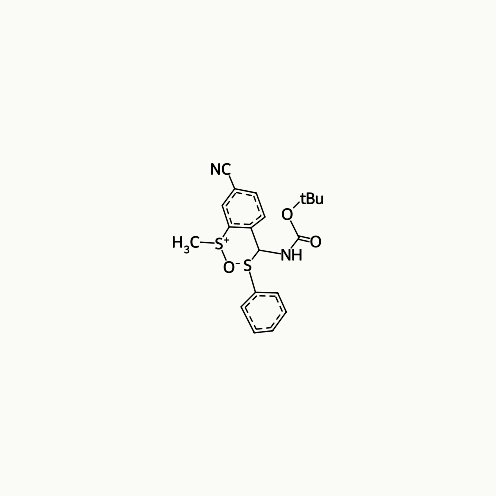 C[S+]([O-])c1cc(C#N)ccc1C(NC(=O)OC(C)(C)C)Sc1ccccc1